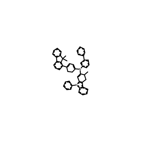 CC1Cc2c(n(-c3ccccc3)c3ccccc23)C=C1N(C1=CC=C(c2cccc3c2C(C)(C)c2ccccc2-3)CC1)c1cccc(-c2ccccc2)c1